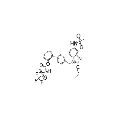 CCCCc1nc2cc(NS(C)(=O)=O)ccc2n1Cc1ccc(-c2ccccc2OC(=O)NS(=O)(=O)C(F)(F)F)cc1